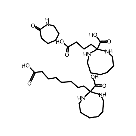 O=C(O)CCCC1(C(=O)O)NCCCCCCN1.O=C(O)CCCCCCCC1(C(=O)O)NCCCCCCN1.O=C1CCCCCN1